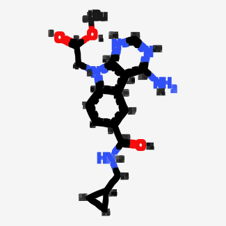 CC(C)(C)OC(=O)Cn1c2ccc(C(=O)NCC3CC3)cc2c2c(N)ncnc21